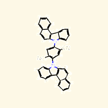 N#Cc1cc(-n2c3ccccc3c3c4ccccc4ccc32)c(C#N)cc1-n1c2ccccc2c2c3ccccc3ccc21